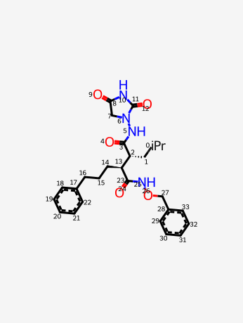 CC(C)C[C@@H](C(=O)NN1CC(=O)NC1=O)[C@H](CCCc1ccccc1)C(=O)NOCc1ccccc1